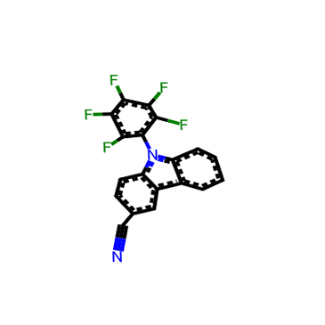 N#Cc1ccc2c(c1)c1ccccc1n2-c1c(F)c(F)c(F)c(F)c1F